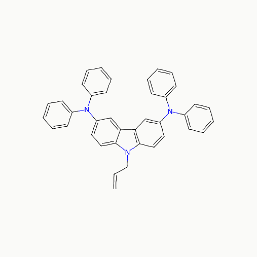 C=CCn1c2ccc(N(c3ccccc3)c3ccccc3)cc2c2cc(N(c3ccccc3)c3ccccc3)ccc21